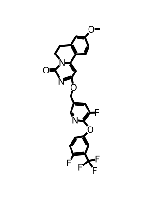 COc1ccc2c(c1)CCn1c-2cc(OCc2cnc(Oc3ccc(F)c(C(F)(F)F)c3)c(F)c2)nc1=O